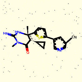 CN1C(=N)N[C@](C)(c2ccc(-c3cncc(C#N)c3)s2)[C@H](C2CC2)C1=O